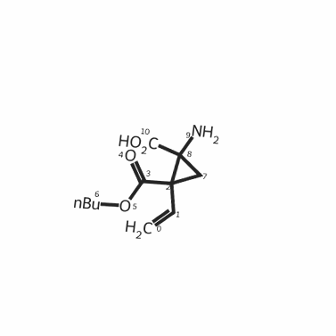 C=CC1(C(=O)OCCCC)CC1(N)C(=O)O